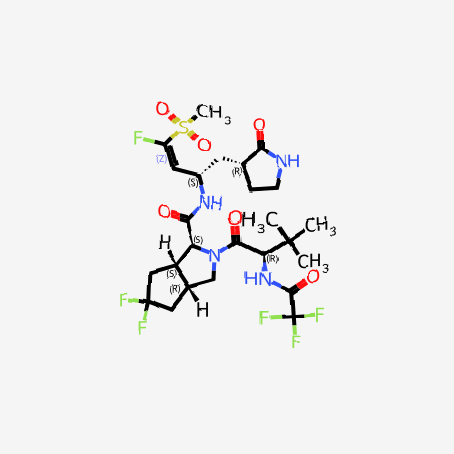 CC(C)(C)[C@@H](NC(=O)C(F)(F)F)C(=O)N1C[C@@H]2CC(F)(F)C[C@@H]2[C@H]1C(=O)N[C@H](/C=C(/F)S(C)(=O)=O)C[C@H]1CCNC1=O